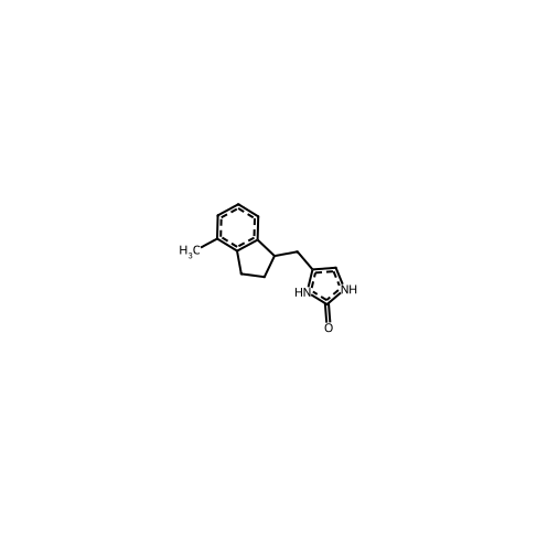 Cc1cccc2c1CCC2Cc1c[nH]c(=O)[nH]1